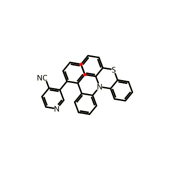 N#Cc1ccncc1-c1ccccc1-c1ccccc1N1c2ccccc2Sc2ccccc21